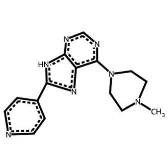 CN1CCN(c2ncnc3[nH]c(-c4ccncc4)nc23)CC1